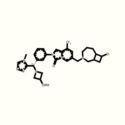 CCC1CC2CN(Cc3cc(C(F)(F)F)c4cn(-c5cccc([C@@H](c6nncn6C)N6CC(OC)C6)c5)c(=O)n4c3)CCCC12